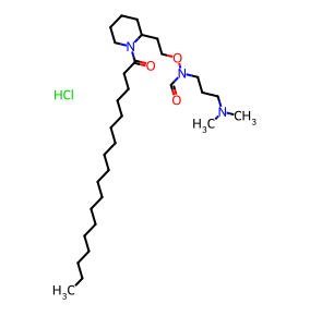 CCCCCCCCCCCCCCCCCC(=O)N1CCCCC1CCON(C=O)CCCN(C)C.Cl